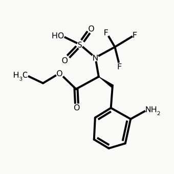 CCOC(=O)[C@H](Cc1ccccc1N)N(C(F)(F)F)S(=O)(=O)O